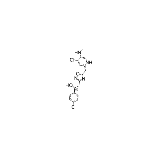 CNC1=CNN(Cc2nc(C[C@H](O)c3ccc(Cl)cc3)no2)C=C1Cl